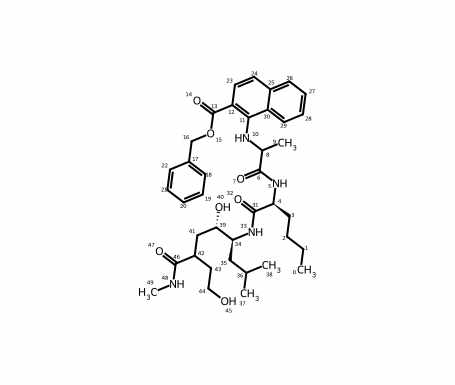 CCCC[C@H](NC(=O)C(C)Nc1c(C(=O)OCc2ccccc2)ccc2ccccc12)C(=O)N[C@@H](CC(C)C)[C@@H](O)CC(CCO)C(=O)NC